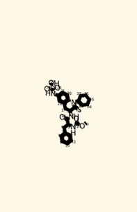 COC(=O)NC(Cc1ccccc1)C(=O)NC(Cc1cccc(NS(=O)(=O)O)c1)c1nc2c(s1)CCCC2